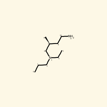 CCCN(CC)C[C@@H](C)CCN